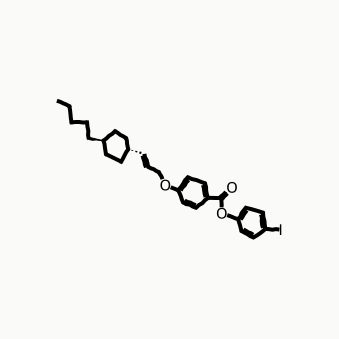 CCCCC[C@H]1CC[C@H](/C=C/COc2ccc(C(=O)Oc3ccc(I)cc3)cc2)CC1